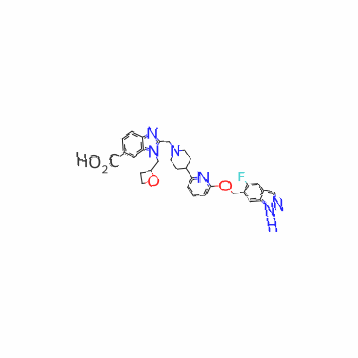 O=C(O)c1ccc2nc(CN3CCC(c4cccc(OCc5cc6[nH]ncc6cc5F)n4)CC3)n(CC3CCO3)c2c1